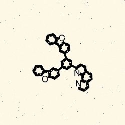 c1cnc2c(c1)ccc1ccc(-c3cc(-c4ccc5oc6ccccc6c5c4)cc(-c4ccc5oc6ccccc6c5c4)c3)nc12